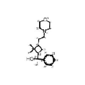 CC1(C)[C@@H](CCN2CCOCC2)C[C@H]1[C@](C)(O)c1ccccc1